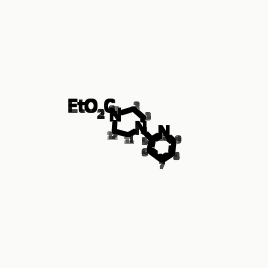 CCOC(=O)N1CCN(c2ccccn2)CC1